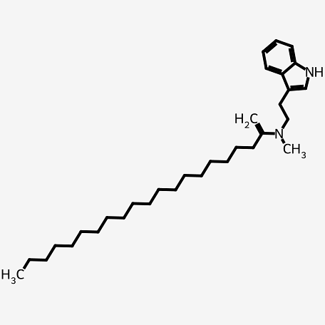 C=C(CCCCCCCCCCCCCCCCCCC)N(C)CCc1c[nH]c2ccccc12